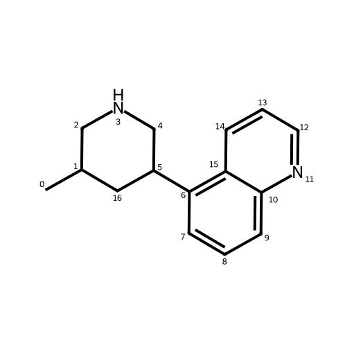 CC1CNCC(c2cccc3ncccc23)C1